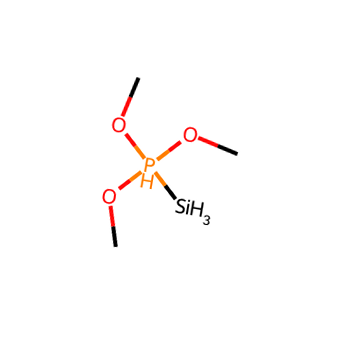 CO[PH]([SiH3])(OC)OC